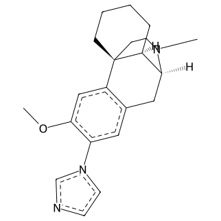 COc1cc2c(cc1-n1ccnc1)C[C@H]1[C@@H]3CCCC[C@]23CCN1C